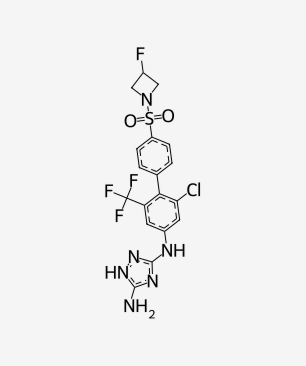 Nc1nc(Nc2cc(Cl)c(-c3ccc(S(=O)(=O)N4CC(F)C4)cc3)c(C(F)(F)F)c2)n[nH]1